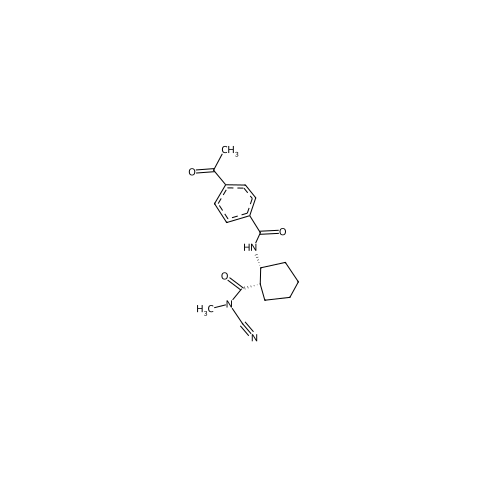 CC(=O)c1ccc(C(=O)N[C@@H]2CCCC[C@@H]2C(=O)N(C)C#N)cc1